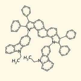 CCn1c2ccccc2c2cc(-n3c(-c4ccccc4)c(-c4ccccc4)c4ccc5c6ccc7c(-c8ccccc8)c(-c8ccccc8)n(-c8ccc9c(c8)c8ccccc8n9CC)c7c6ccc5c43)ccc21